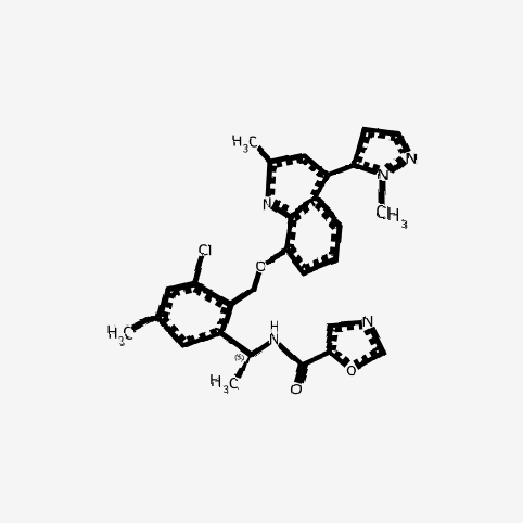 Cc1cc(Cl)c(COc2cccc3c(-c4ccnn4C)cc(C)nc23)c([C@H](C)NC(=O)c2cnco2)c1